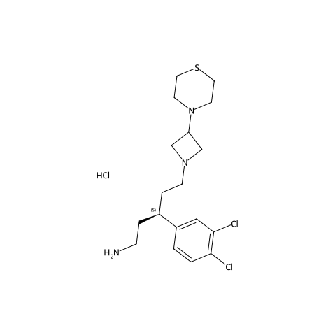 Cl.NCC[C@@H](CCN1CC(N2CCSCC2)C1)c1ccc(Cl)c(Cl)c1